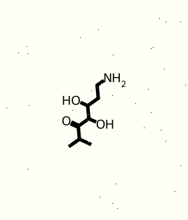 CC(C)C(=O)C(O)C(O)CCN